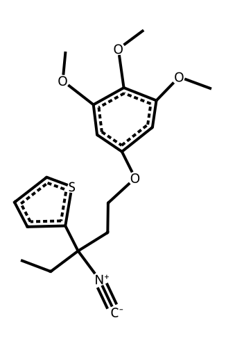 [C-]#[N+]C(CC)(CCOc1cc(OC)c(OC)c(OC)c1)c1cccs1